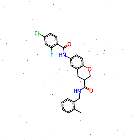 Cc1ccccc1CNC(=O)C1COc2ccc(NC(=O)c3ccc(Cl)cc3F)cc2C1